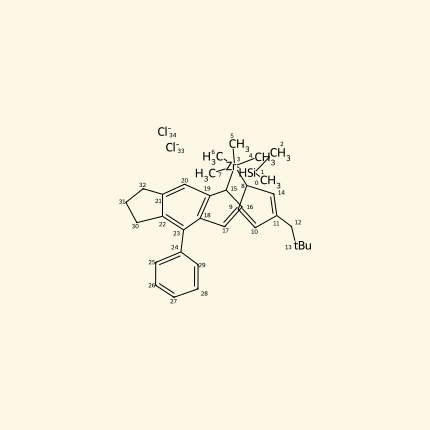 C[SiH](C)[Zr]([CH3])([CH3])([CH3])([CH3])([CH]1C=CC(CC(C)(C)C)=C1)[CH]1C=Cc2c1cc1c(c2-c2ccccc2)CCC1.[Cl-].[Cl-]